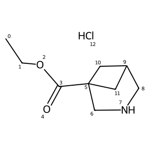 CCOC(=O)C12CNCC(C1)C2.Cl